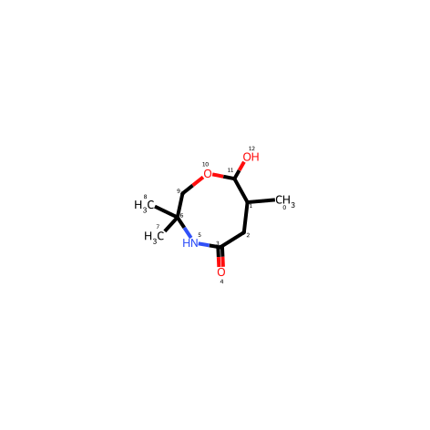 CC1CC(=O)NC(C)(C)COC1O